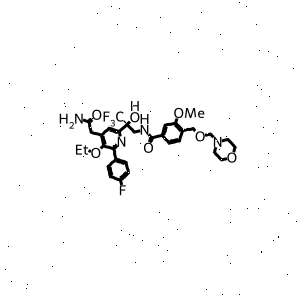 CCOc1c(CC(N)=O)cc([C@@](O)(CNC(=O)c2ccc(COCN3CCOCC3)c(OC)c2)C(F)(F)F)nc1-c1ccc(F)cc1